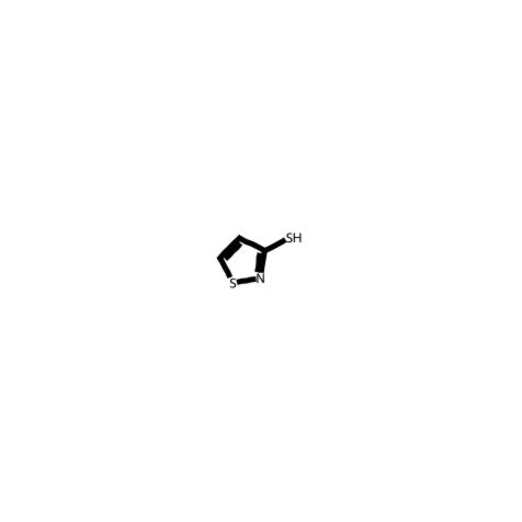 Sc1[c]csn1